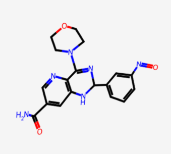 NC(=O)c1cnc2c(c1)NC(c1cccc(N=O)c1)N=C2N1CCOCC1